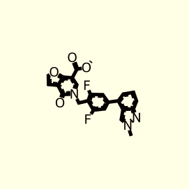 COC(=O)c1cn(Cc2c(F)cc(-c3cccc4nn(C)cc34)cc2F)c(=O)c2ccoc12